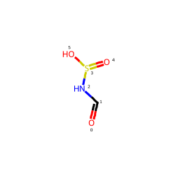 O=CNS(=O)O